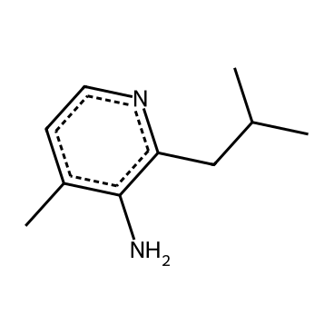 Cc1ccnc(CC(C)C)c1N